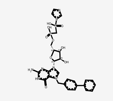 Nc1nc2c(c(=O)[nH]1)[n+](Cc1ccc(-c3ccccc3)cc1)cn2[C@@H]1O[C@H](COP(=O)(O)CP(=O)(O)n2ccnc2)[C@@H](O)[C@H]1O